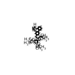 COC(C)Oc1nnc(OC(C)OC)c2c1nc(CC(C)(C)C)n2Cc1ccc(-c2ccccc2-c2nnn[nH]2)cc1